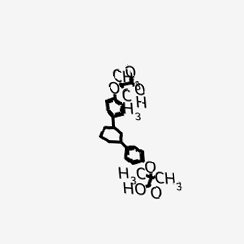 CC(C)(Oc1ccc(C2CCCC(c3ccc(OC(C)(C)C(=O)O)cc3)C2)cc1)C(=O)O